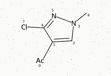 CC(=O)c1cn(C)nc1Cl